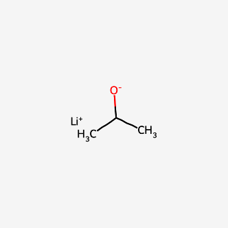 CC(C)[O-].[Li+]